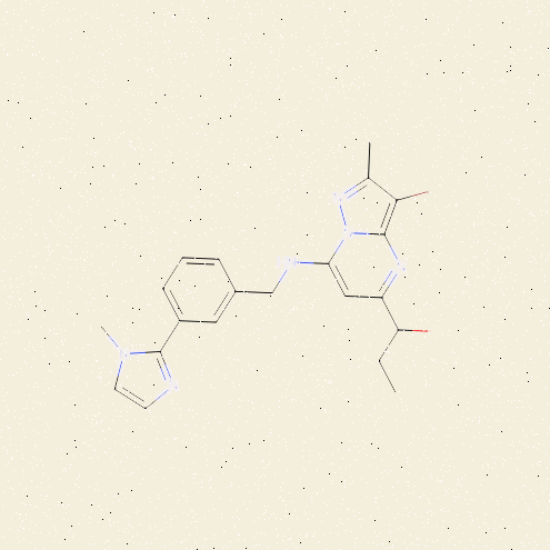 CCC(O)c1cc(NCc2cccc(-c3nccn3C)c2)n2nc(C)c(Br)c2n1